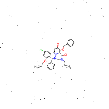 C=CCOc1cc(Cl)ccc1C(c1ccccc1)N1CN(CC=C)C(=O)c2c(OCc3ccccc3)c(=O)ccn21